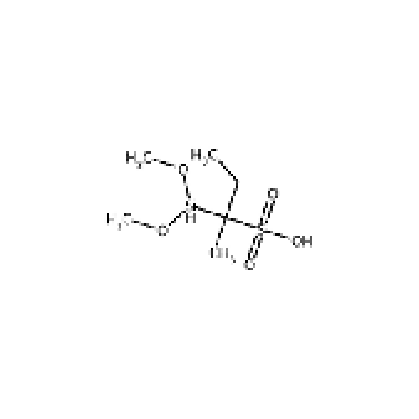 CCC(C)([SiH](OC)OC)S(=O)(=O)O